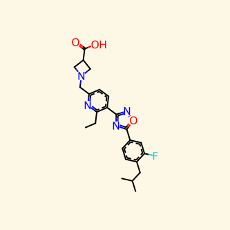 CCc1nc(CN2CC(C(=O)O)C2)ccc1-c1noc(-c2ccc(CC(C)C)c(F)c2)n1